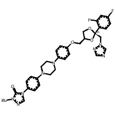 CCC(C)n1ncn(-c2ccc(N3CCN(c4ccc(OCC5CO[C@](Cn6cncn6)(c6ccc(F)cc6F)O5)cc4)CC3)cc2)c1=O